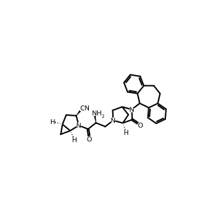 N#C[C@@H]1C[C@@H]2C[C@@H]2N1C(=O)[C@@H](N)CN1CC2C[C@H]1C(=O)N2C1c2ccccc2CCc2ccccc21